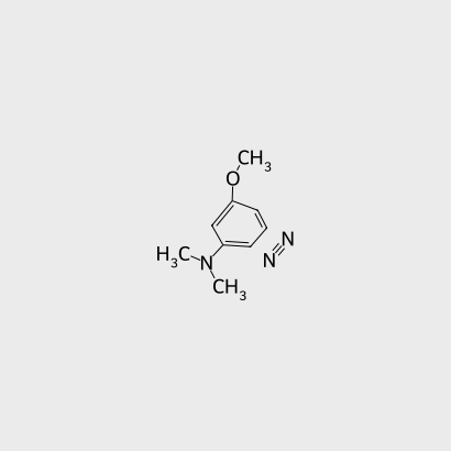 COc1cccc(N(C)C)c1.N#N